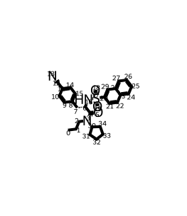 CCCN(C(=O)[C@H](Cc1ccc(C#N)cc1)NS(=O)(=O)c1ccc2ccccc2c1)C1CCCC1